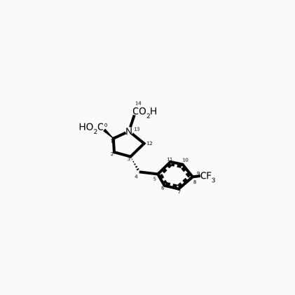 O=C(O)[C@@H]1C[C@@H](Cc2ccc(C(F)(F)F)cc2)CN1C(=O)O